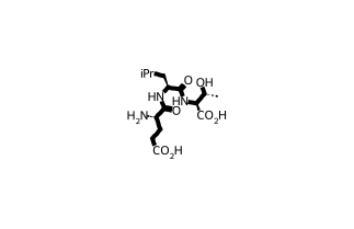 CC(C)C[C@H](NC(=O)[C@@H](N)CCC(=O)O)C(=O)N[C@H](C(=O)O)[C@@H](C)O